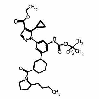 CCCCC1CCCN1C(=O)[C@@H]1CCC[C@H](c2cc(NC(=O)OC(C)(C)C)cc(-n3ncc(C(=O)OCC)c3C3CC3)c2)C1